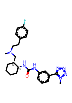 CN(CCc1ccc(F)cc1)C[C@@H]1CCCC[C@H]1NC(=O)Nc1cccc(-c2nnnn2C)c1